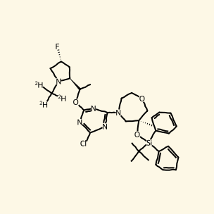 [2H]C([2H])([2H])N1C[C@H](F)C[C@H]1C(C)Oc1nc(Cl)nc(N2CCOC[C@@](C)(O[Si](c3ccccc3)(c3ccccc3)C(C)(C)C)C2)n1